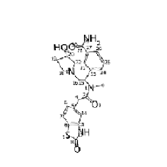 CN(C(=O)Cc1ccc2sc(=O)[nH]c2c1)C(CN1CC[C@H](O)C1)c1cccc(C(N)=O)c1